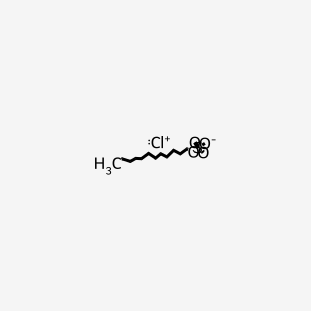 CCCCCCCCCCCCOS(=O)(=O)[O-].[Cl+]